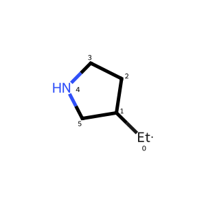 C[CH]C1CCNC1